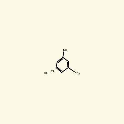 Cl.Cl.Nc1cccc(N)c1